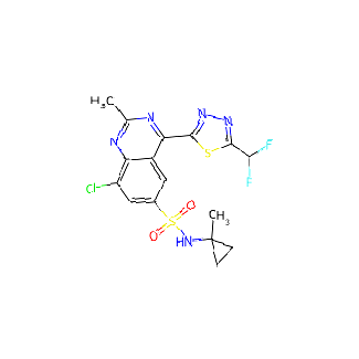 Cc1nc(-c2nnc(C(F)F)s2)c2cc(S(=O)(=O)NC3(C)CC3)cc(Cl)c2n1